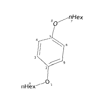 CCCCCCOc1ccc(OCCCCCC)cc1